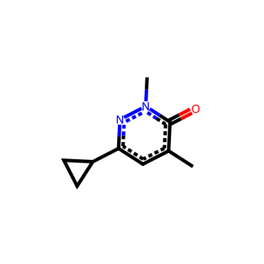 Cc1cc(C2CC2)nn(C)c1=O